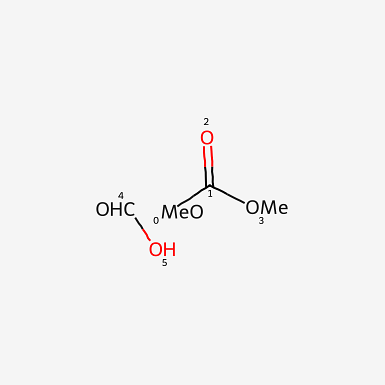 COC(=O)OC.O=CO